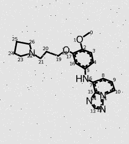 COc1ccc(Nc2cccn3ncnc23)cc1OCCCN1CCCC1